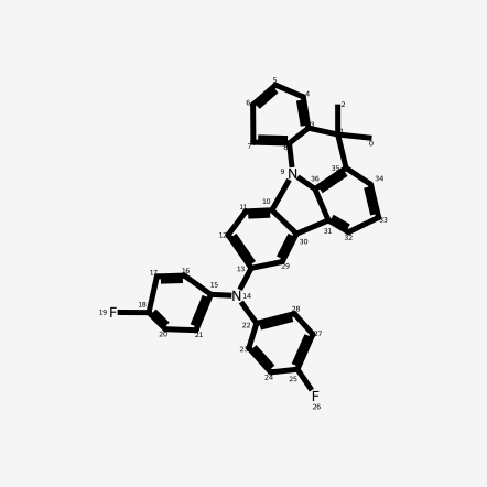 CC1(C)c2ccccc2-n2c3ccc(N(c4ccc(F)cc4)c4ccc(F)cc4)cc3c3cccc1c32